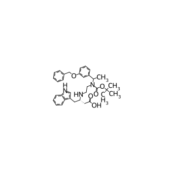 CC(c1cccc(OCc2ccccc2)c1)N(CCN[C@H](CC(=O)O)Cc1c[nH]c2ccccc12)C(=O)OC(C)(C)C